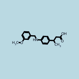 COc1cccc(CNc2ccc(C(C)CC(=O)O)cc2)c1